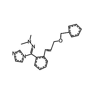 CN(C)N=C(c1ccccc1/C=C/COCc1ccccc1)n1ccnc1